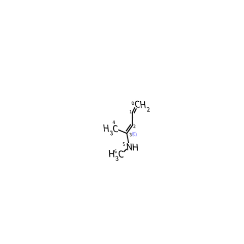 C=C/C=C(\C)NC